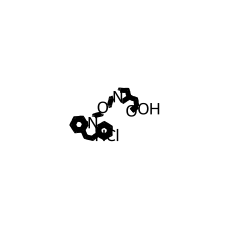 Cl.O=C(O)CC1CCN(CCOCCN2c3ccccc3CCc3ccccc32)C1